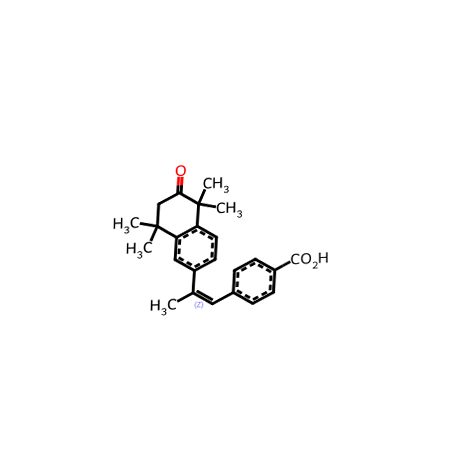 C/C(=C/c1ccc(C(=O)O)cc1)c1ccc2c(c1)C(C)(C)CC(=O)C2(C)C